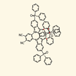 N#Cc1cc(-n2c3ccc(P(=O)(c4ccccc4)c4ccccc4)cc3c3cc(P(=O)(c4ccccc4)c4ccccc4)ccc32)c(-n2c3ccc(P(=O)(c4ccccc4)c4ccccc4)cc3c3cc(P(=O)(c4ccccc4)c4ccccc4)ccc32)cc1C#N